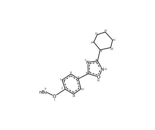 CCCCOc1ccc(-c2nc(C3CCCCC3)no2)cc1